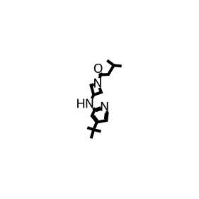 CC(C)CC(=O)N1CC(Nc2cc(C(C)(C)C)ccn2)C1